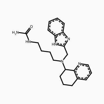 NC(=O)NCCCCN(Cc1nc2ccccc2[nH]1)C1CCCc2cccnc21